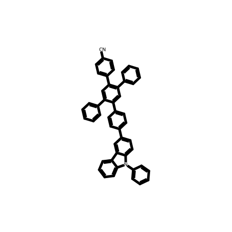 N#Cc1ccc(-c2cc(-c3ccccc3)c(-c3ccc(-c4ccc5c(c4)c4ccccc4n5-c4ccccc4)cc3)cc2-c2ccccc2)cc1